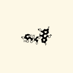 COCc1cc(F)ccc1C(c1ccc(F)cc1COC)[C@H](C)OC[C@](C)(C=O)NC(=O)c1nccc(OC)c1O